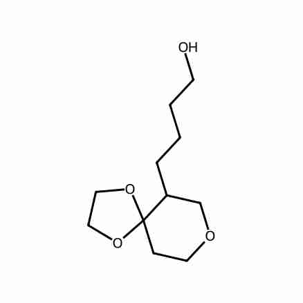 OCCCCC1COCCC12OCCO2